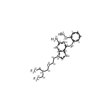 CCCCOc1ccccc1Sc1nc(N)nc2c1ncn2CCOCP(CC(F)(F)F)CC(F)(F)F